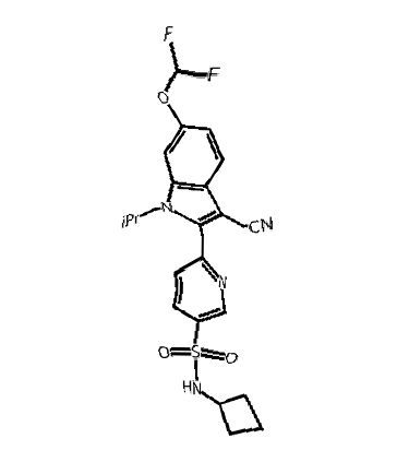 CC(C)n1c(-c2ccc(S(=O)(=O)NC3CCC3)cn2)c(C#N)c2ccc(OC(F)F)cc21